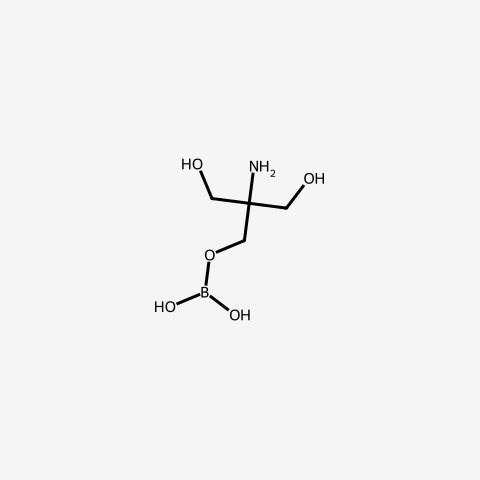 NC(CO)(CO)COB(O)O